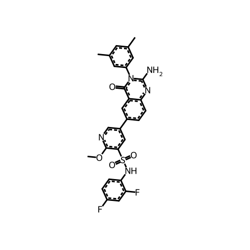 COc1ncc(-c2ccc3nc(N)n(-c4cc(C)cc(C)c4)c(=O)c3c2)cc1S(=O)(=O)Nc1ccc(F)cc1F